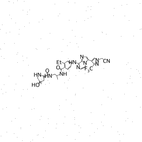 CCc1cc(Nc2nccn3c(-c4cn(CC#N)nc4C(F)(F)F)cnc23)ccc1C(=O)NC(C)CNC(=O)[C@@H]1C[C@@H](O)CN1